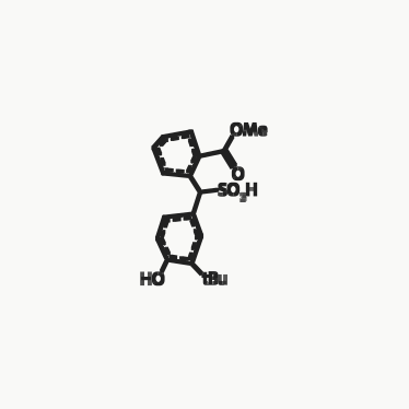 COC(=O)c1ccccc1C(c1ccc(O)c(C(C)(C)C)c1)S(=O)(=O)O